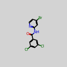 O=C(Nc1cc(Br)ccn1)c1cc(Cl)cc(Cl)c1